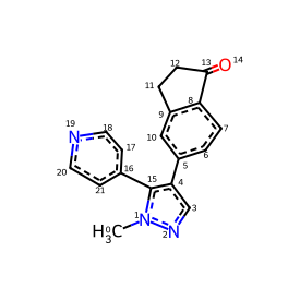 Cn1ncc(-c2ccc3c(c2)CCC3=O)c1-c1ccncc1